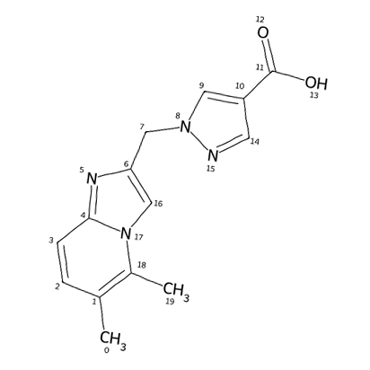 Cc1ccc2nc(Cn3cc(C(=O)O)cn3)cn2c1C